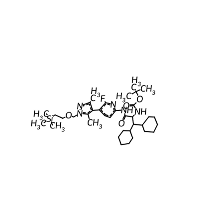 Cc1nn(COCC[Si](C)(C)C)c(C)c1-c1ccc(NC(=O)C(NC(=O)OC(C)(C)C)C(C2CCCCC2)C2CCCCC2)nc1F